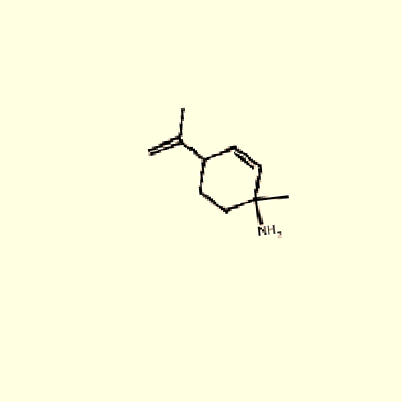 C=C(C)C1C=CC(C)(N)CC1